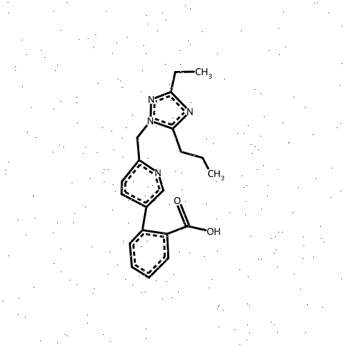 CCCc1nc(CC)nn1Cc1ccc(-c2ccccc2C(=O)O)cn1